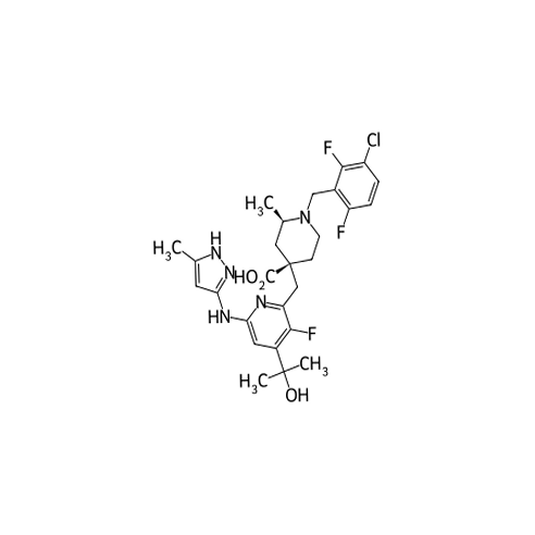 Cc1cc(Nc2cc(C(C)(C)O)c(F)c(C[C@@]3(C(=O)O)CCN(Cc4c(F)ccc(Cl)c4F)[C@H](C)C3)n2)n[nH]1